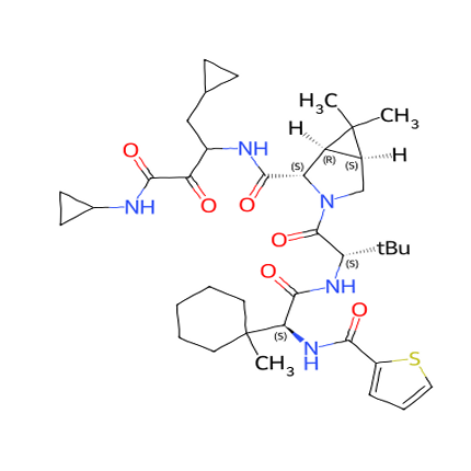 CC(C)(C)[C@H](NC(=O)[C@@H](NC(=O)c1cccs1)C1(C)CCCCC1)C(=O)N1C[C@H]2[C@@H]([C@H]1C(=O)NC(CC1CC1)C(=O)C(=O)NC1CC1)C2(C)C